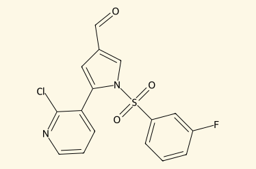 O=Cc1cc(-c2cccnc2Cl)n(S(=O)(=O)c2cccc(F)c2)c1